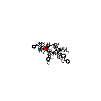 CC(C)(C)[Si](C)(C)O[C@@H]1[C@@H]2OP(=O)(S)OC[C@H]3O[C@@H](n4cnc5c(NC(=O)c6ccccc6)ncnc54)[C@H](OP(=S)(SCc4ccc(Cl)cc4Cl)OC[C@H]2O[C@H]1n1cc2c4c(ncnc41)N(C(=O)c1ccccc1)CCC2)[C@@H]3O[Si](C)(C)C(C)(C)C